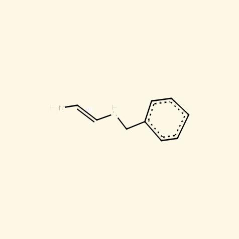 N/C=C/NCc1ccccc1